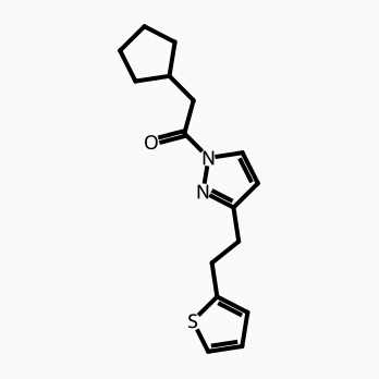 O=C(CC1CCCC1)n1ccc(CCc2cccs2)n1